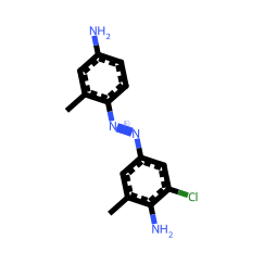 Cc1cc(N)ccc1/N=N/c1cc(C)c(N)c(Cl)c1